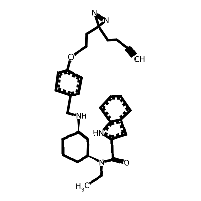 C#CCCC1(CCOc2ccc(CN[C@@H]3CCC[C@H](N(CC)C(=O)c4cc5ccccc5[nH]4)C3)cc2)N=N1